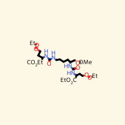 CCOOCCC(NC(=O)NCCCCC(COOC)NC(=O)NC(CCOOCC)C(=O)OCC)C(=O)OCC